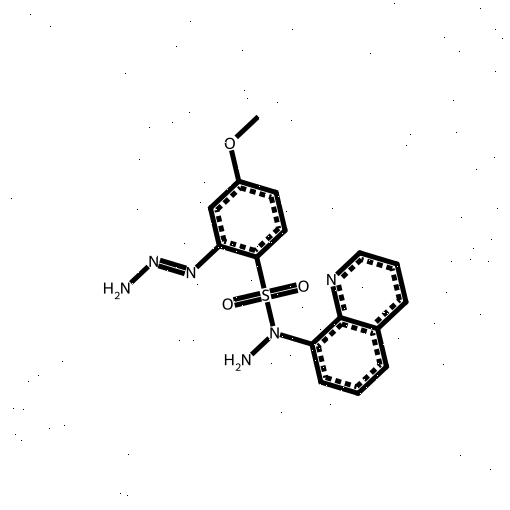 COc1ccc(S(=O)(=O)N(N)c2cccc3cccnc23)c(N=NN)c1